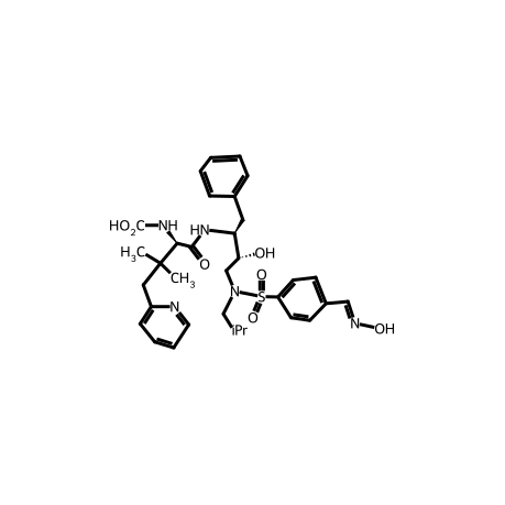 CC(C)CN(C[C@@H](O)[C@H](Cc1ccccc1)NC(=O)[C@H](NC(=O)O)C(C)(C)Cc1ccccn1)S(=O)(=O)c1ccc(C=NO)cc1